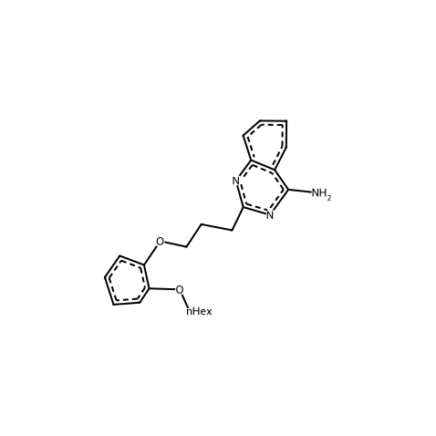 CCCCCCOc1ccccc1OCCCc1nc(N)c2ccccc2n1